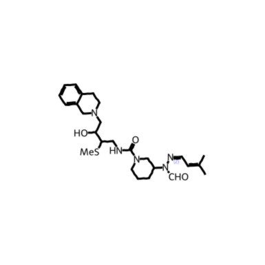 CSC(CNC(=O)N1CCCC(N(C=O)/N=C\C=C(C)C)C1)C(O)CN1CCc2ccccc2C1